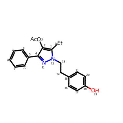 CCc1c(OC(C)=O)c(-c2ccccc2)nn1CCc1ccc(O)cc1